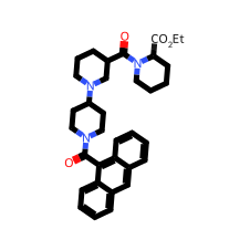 CCOC(=O)C1CCCCN1C(=O)C1CCCN(C2CCN(C(=O)c3c4ccccc4cc4ccccc34)CC2)C1